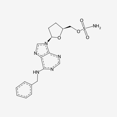 NS(=O)(=O)OC[C@@H]1CC[C@H](n2cnc3c(NCc4ccccc4)ncnc32)O1